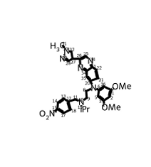 COc1cc(OC)cc(N(CCN(Cc2ccc([N+](=O)[O-])cc2)C(C)C)c2ccc3ncc(C4C=NN(C)C4)nc3c2)c1